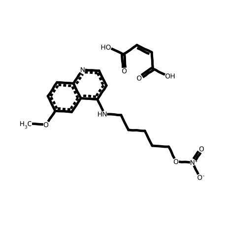 COc1ccc2nccc(NCCCCCO[N+](=O)[O-])c2c1.O=C(O)/C=C\C(=O)O